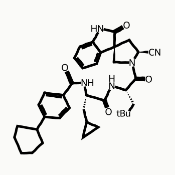 CC(C)(C)C[C@H](NC(=O)[C@H](CC1CC1)NC(=O)c1ccc(C2CCCCC2)cc1)C(=O)N1C[C@]2(C[C@H]1C#N)C(=O)Nc1ccccc12